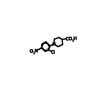 O=C(O)C1CCN(c2ccc([N+](=O)[O-])cc2Cl)CC1